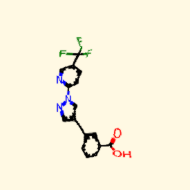 O=C(O)c1cccc(-c2cnn(-c3ccc(C(F)(F)F)cn3)c2)c1